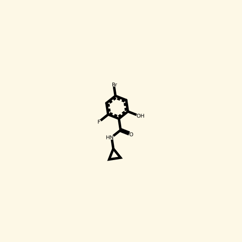 O=C(NC1CC1)c1c(O)cc(Br)cc1F